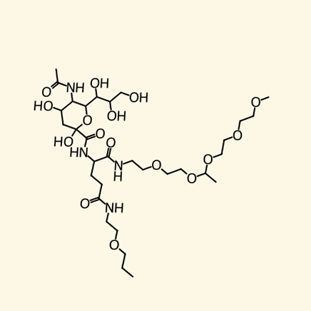 CCCOCCNC(=O)CCC(NC(=O)C1(O)CC(O)C(NC(C)=O)C(C(O)C(O)CO)O1)C(=O)NCCOCCOC(C)OCCOCCOC